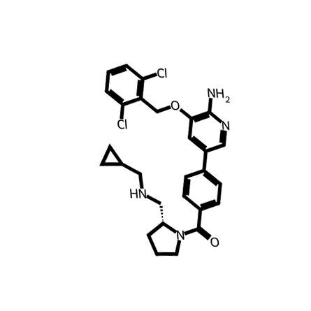 Nc1ncc(-c2ccc(C(=O)N3CCC[C@@H]3CNCC3CC3)cc2)cc1OCc1c(Cl)cccc1Cl